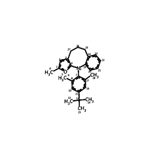 Cc1cc2c(o1)N(c1c(C)cc(C(C)(C)C)cc1C)c1ccccc1CCC2